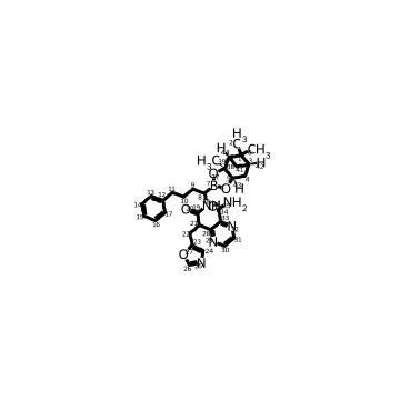 CC1(C)[C@@H]2C[C@H]3OB(C(CCCc4ccccc4)NC(=O)C(Cc4cnco4)c4nccnc4C(N)=O)O[C@@]3(C)[C@H]1C2